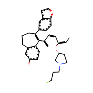 C=C(/C=C\C(=C/C)O[C@H]1CCN(CCCF)C1)C1=C(c2ccc3occc3c2)CCCc2cc(O)ccc21